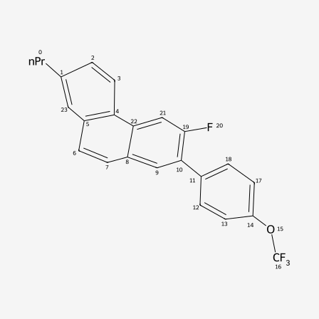 CCCc1ccc2c(ccc3cc(-c4ccc(OC(F)(F)F)cc4)c(F)cc32)c1